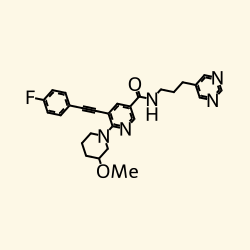 COC1CCCN(c2ncc(C(=O)NCCCc3cncnc3)cc2C#Cc2ccc(F)cc2)C1